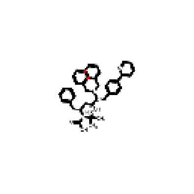 CC(C)(C)N(C(=O)O)[C@@H](Cc1ccccc1)C[C@H](O)[C@H](Cc1ccc(-c2ccccn2)cc1)N(Cc1ccccc1)Cc1ccccc1